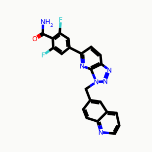 NC(=O)c1c(F)cc(-c2ccc3nnn(Cc4ccc5ncccc5c4)c3n2)cc1F